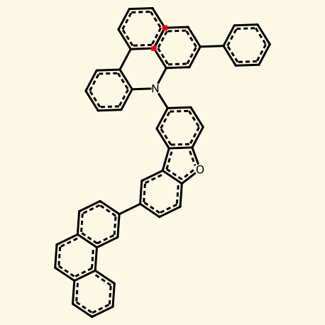 c1ccc(-c2cccc(N(c3ccc4oc5ccc(-c6ccc7ccc8ccccc8c7c6)cc5c4c3)c3ccccc3-c3ccccc3)c2)cc1